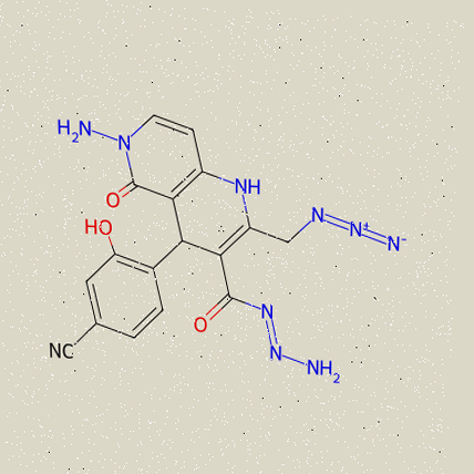 N#Cc1ccc(C2C(C(=O)N=NN)=C(CN=[N+]=[N-])Nc3ccn(N)c(=O)c32)c(O)c1